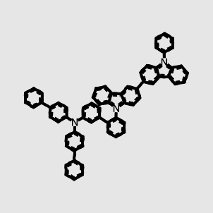 c1ccc(-c2ccc(N(c3ccc(-c4ccccc4)cc3)c3cccc(-c4ccccc4-n4c5ccccc5c5cc(-c6ccc7c(c6)c6ccccc6n7-c6ccccc6)ccc54)c3)cc2)cc1